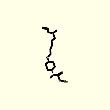 C=CCN(C)CCCCCO[C@H]1CC[C@H](N(C)C(=O)OC(C)(C)C)CC1